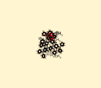 Cc1cc(C)c(N2c3cc4c(cc3B3c5cc6c(cc5Oc5cc(N(c7ccccc7)c7ccccc7)cc2c53)N(c2c(C)cc(C)cc2C)c2cc(N(c3ccccc3)c3ccccc3)cc3c2B6c2ccc5oc6c(C(C)(C)C)cccc6c5c2N3c2ccccc2)B2c3ccc5oc6c(C(C)(C)C)cccc6c5c3N(c3ccccc3)c3cc(N(c5ccccc5)c5ccccc5)cc(c32)N4)c(C)c1